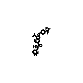 CC(C)C1c2ncc(C(=O)NCc3cccnn3)cc2CN1Cc1ccc(C(F)(F)F)cc1